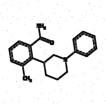 Cc1cccc(C(N)=O)c1C1CCCN(c2ccccc2)C1